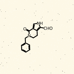 O=Cc1[nH]cc2c1CCN(Cc1ccccc1)C2=O